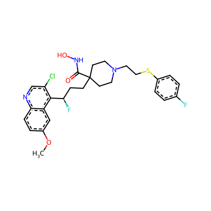 COc1ccc2ncc(Cl)c([C@H](F)CCC3(C(=O)NO)CCN(CCSc4ccc(F)cc4)CC3)c2c1